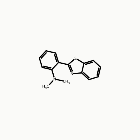 CN(C)c1ccccc1-c1nc2ccccc2s1